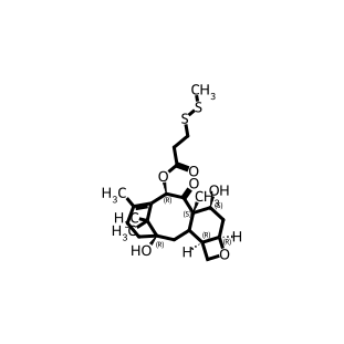 CSSCCC(=O)O[C@H]1C(=O)[C@@]2(C)C(C[C@]3(O)CCC(C)=C1C3(C)C)[C@@H]1CO[C@@H]1C[C@@H]2O